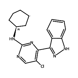 Clc1cnc(N[C@@H]2C[CH]CCC2)nc1-c1n[nH]c2ccccc12